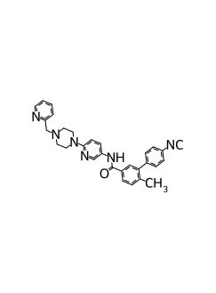 [C-]#[N+]c1ccc(-c2cc(C(=O)Nc3ccc(N4CCN(Cc5ccccn5)CC4)nc3)ccc2C)cc1